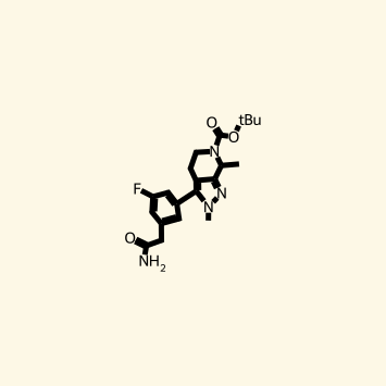 CC1c2nn(C)c(-c3cc(F)cc(CC(N)=O)c3)c2CCN1C(=O)OC(C)(C)C